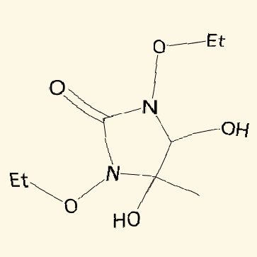 CCON1C(=O)N(OCC)C(C)(O)C1O